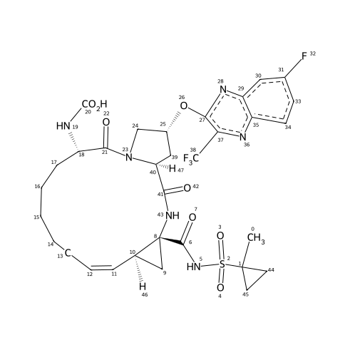 CC1(S(=O)(=O)NC(=O)[C@@]23C[C@H]2/C=C\CCCCC[C@H](NC(=O)O)C(=O)N2C[C@H](Oc4nc5cc(F)ccc5nc4C(F)(F)F)C[C@H]2C(=O)N3)CC1